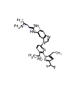 CCc1cc(C(F)F)nn1-c1nc(-n2cnc3ccc(N/C(N)=C/C=C(/C)N)cc32)ccc1C(C)O